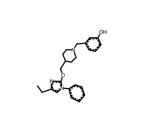 CCc1cn(-c2ccccc2)c(OCC2CCN(Cc3cccc(O)c3)CC2)n1